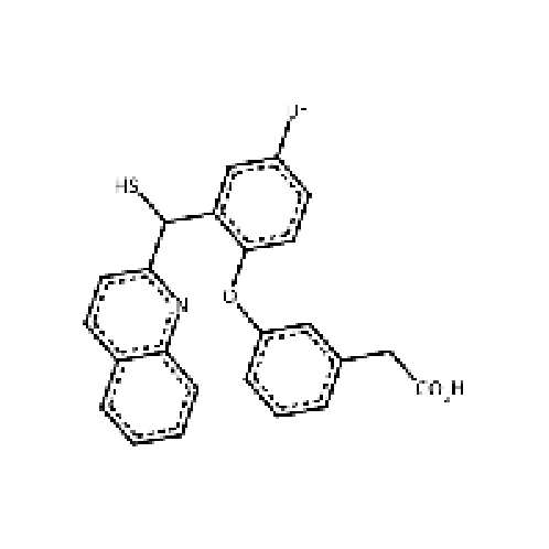 O=C(O)Cc1cccc(Oc2ccc(Br)cc2C(S)c2ccc3ccccc3n2)c1